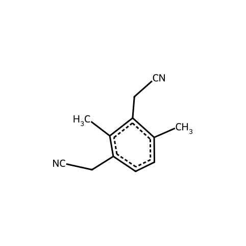 Cc1ccc(CC#N)c(C)c1CC#N